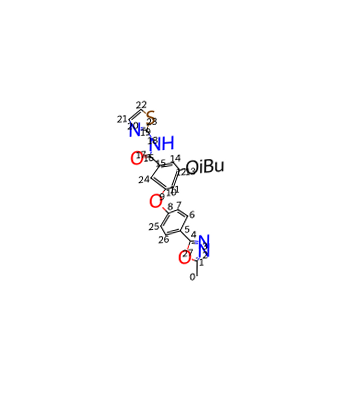 Cc1nnc(-c2ccc(Oc3cc(OCC(C)C)cc(C(=O)Nc4nccs4)c3)cc2)o1